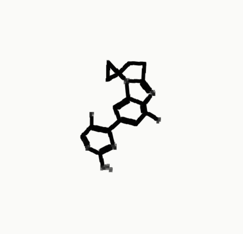 Nc1ncc(F)c(-c2cc(F)c3nc4n(c3c2)C2(CC4)CC2)n1